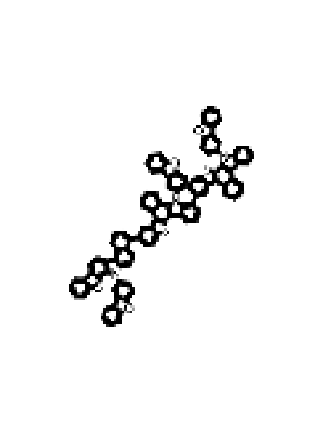 c1ccc2c(c1)oc1ccc(-n3c4ccc5c(-c6ccc7sc8c(c7c6)c6ccccc6c6c8c7cccc(-c8ccc9sc%10c(c9c8)c8ccccc8c8c9ccccc9n(-c9ccc%11oc%12ccccc%12c%11c9)c%108)c7n6-c6ccc7oc8ccccc8c7c6)cccc5c4c4ccc5c6ccccc6sc5c43)cc12